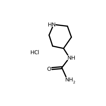 Cl.NC(=O)NC1CCNCC1